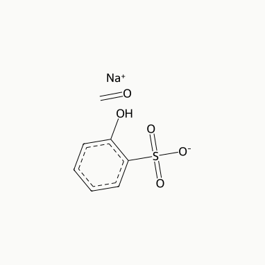 C=O.O=S(=O)([O-])c1ccccc1O.[Na+]